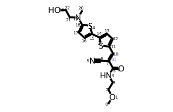 COCCNC(=O)/C(C#N)=C/c1ccc(-c2ccc(N(C)CCO)s2)s1